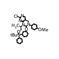 COc1ccc(N2Cc3cnc(Cl)nc3N([C@H](C)CO[Si](c3ccccc3)(c3ccccc3)C(C)(C)C)C2=O)cc1